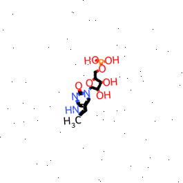 Cc1cc2cn(C3OC(COP(O)O)C(O)C3O)c(=O)nc2[nH]1